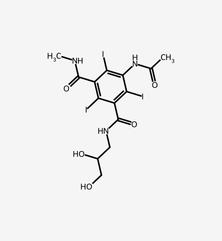 CNC(=O)c1c(I)c(NC(C)=O)c(I)c(C(=O)NCC(O)CO)c1I